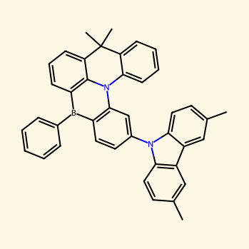 Cc1ccc2c(c1)c1cc(C)ccc1n2-c1ccc2c(c1)N1c3ccccc3C(C)(C)c3cccc(c31)B2c1ccccc1